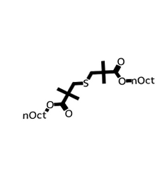 CCCCCCCCOC(=O)C(C)(C)CSCC(C)(C)C(=O)OCCCCCCCC